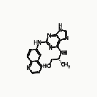 C[C@H](CO)Nc1nc(Nc2ccc3ncccc3c2)nc2[nH]cnc12